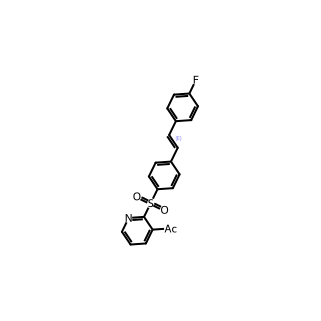 CC(=O)c1cccnc1S(=O)(=O)c1ccc(/C=C/c2ccc(F)cc2)cc1